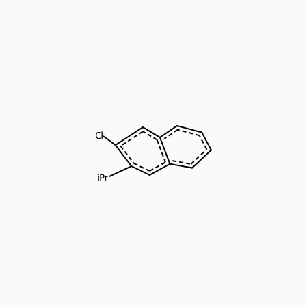 CC(C)c1cc2ccccc2cc1Cl